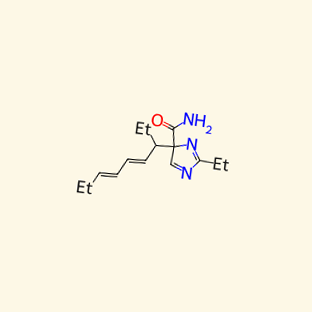 CC/C=C/C=CC(CC)C1(C(N)=O)C=NC(CC)=N1